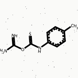 Cc1ccc(NC(=S)OC(=N)N)cc1